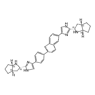 c1cc(-c2c[nH]c([C@@H]3C[C@@H]4CCC[C@@H]4N3)n2)ccc1-c1ccc2cc(-c3c[nH]c([C@@H]4C[C@@H]5CCC[C@@H]5N4)n3)ccc2c1